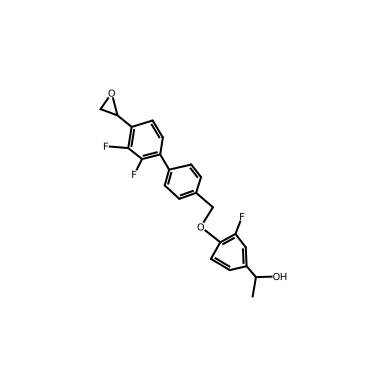 CC(O)c1ccc(OCc2ccc(-c3ccc(C4CO4)c(F)c3F)cc2)c(F)c1